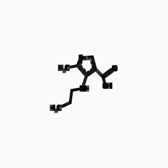 CCCNc1c(C(=O)O)csc1C